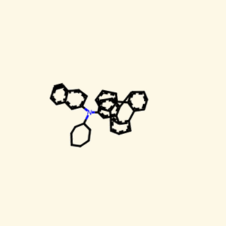 c1ccc2cc(N(c3ccc4c(c3)-c3c5cccc3-c3cccc-4c3-c3ccccc3-5)C3CCCCCC3)ccc2c#1